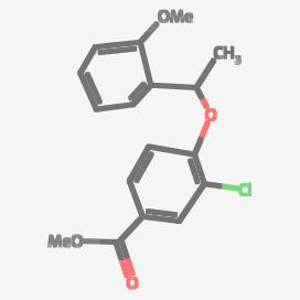 COC(=O)c1ccc(OC(C)c2ccccc2OC)c(Cl)c1